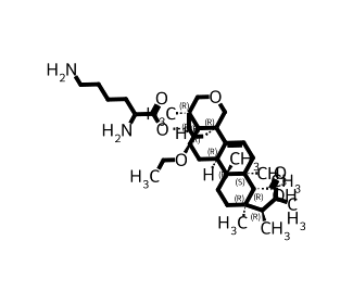 CCO[C@@H]1C[C@@]23COC[C@@](C)([C@@H]2CC[C@H]2C3=CC[C@@]3(C)[C@H](C(=O)O)[C@@](C)([C@H](C)C(C)C)CC[C@]23C)[C@H]1OC(=O)C(N)CCCCN